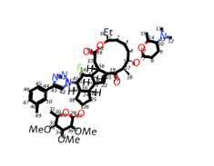 CC[C@H]1CCC[C@H](O[C@H]2CC[C@H](N(C)C)C(C)O2)[C@@H](C)C(=O)C2=C[C@H]3[C@@H]4C[C@H](O[C@@H]5OC(C)[C@H](OC)C(OC)C5OC)C[C@H]4C(n4cc(-c5cccc(C)c5)nn4)C(F)[C@H]3[C@@H]2CC(=O)O1